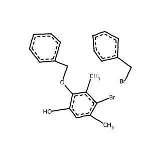 BrCc1ccccc1.Cc1cc(O)c(OCc2ccccc2)c(C)c1Br